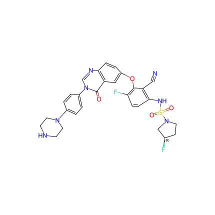 N#Cc1c(NS(=O)(=O)N2CC[C@@H](F)C2)ccc(F)c1Oc1ccc2ncn(-c3ccc(N4CCNCC4)cc3)c(=O)c2c1